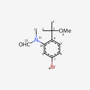 COC(C)(C)c1ccc(Br)cc1N(C)C=O